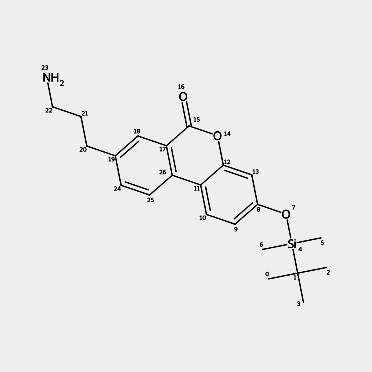 CC(C)(C)[Si](C)(C)Oc1ccc2c(c1)oc(=O)c1cc(CCCN)ccc12